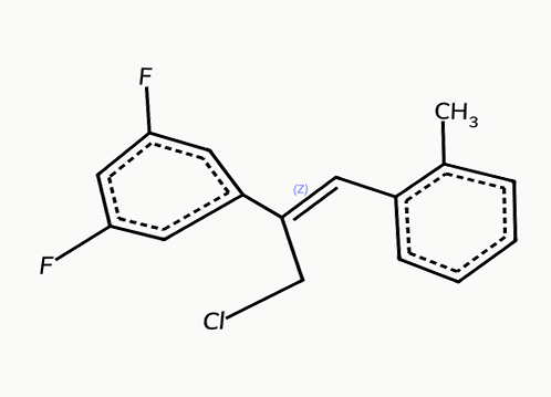 Cc1ccccc1/C=C(\CCl)c1cc(F)cc(F)c1